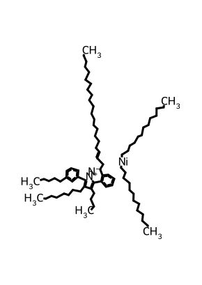 CCCCCCCCCCCCCCCCCCC=CCCc1ccccc1C1=C(CCCC)C(CCCCCCCC)=C(c2cccc(CCCCC)c2)[N+]1=[N-].CCCCCCCCCCCC[CH2][Ni][CH2]CCCCCCCCCCCC